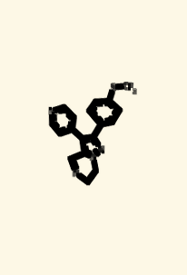 FC(F)(F)Sc1ccc(-c2nn3c(c2-c2ccncc2)C=NCC3)cc1